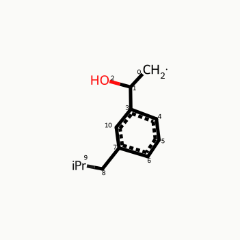 [CH2]C(O)c1cccc(CC(C)C)c1